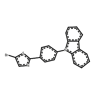 Brc1cnc(-c2ccc(-n3c4ccccc4c4ccccc43)cc2)s1